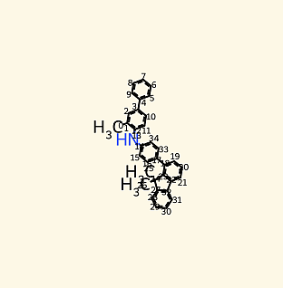 Cc1cc(-c2ccccc2)ccc1Nc1ccc(-c2cccc3c2C(C)(C)c2ccccc2-3)cc1